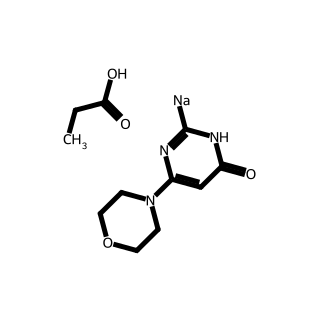 CCC(=O)O.O=c1cc(N2CCOCC2)n[c]([Na])[nH]1